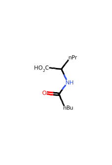 CCCCC(=O)NC(CCC)C(=O)O